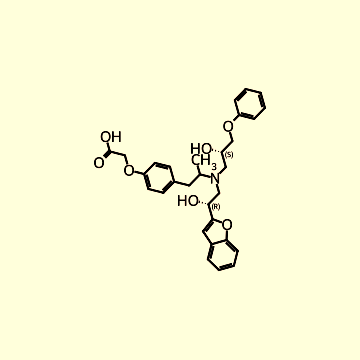 CC(Cc1ccc(OCC(=O)O)cc1)N(C[C@H](O)COc1ccccc1)C[C@@H](O)c1cc2ccccc2o1